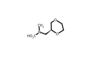 CN(C[C@H]1COCCO1)C(=O)O